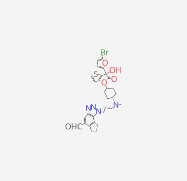 CN(CCCn1nnc2cc(C=O)c3c(c21)CCC3)[C@H]1CC[C@H](OC(=O)[C@@](O)(c2ccc(Br)o2)c2cccs2)CC1